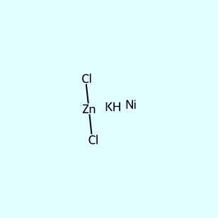 [Cl][Zn][Cl].[KH].[Ni]